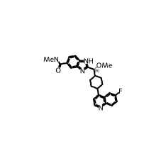 CNC(=O)c1ccc2[nH]c([C@H](OC)C3CCC(c4ccnc5ccc(F)cc45)CC3)nc2c1